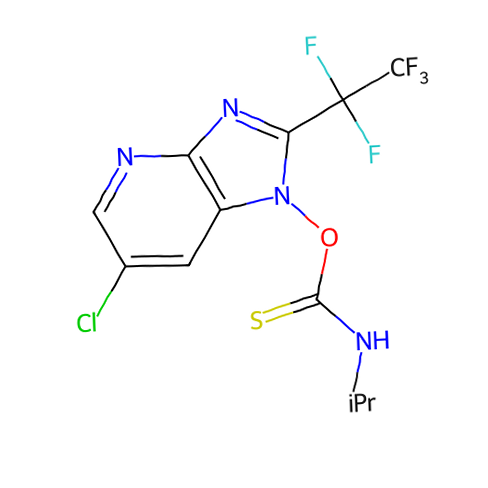 CC(C)NC(=S)On1c(C(F)(F)C(F)(F)F)nc2ncc(Cl)cc21